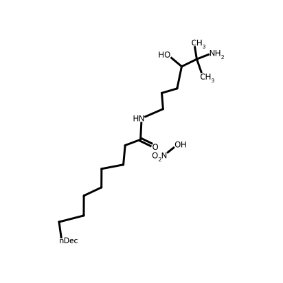 CCCCCCCCCCCCCCCCCC(=O)NCCCC(O)C(C)(C)N.O=[N+]([O-])O